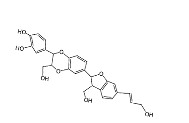 OCC=Cc1ccc2c(c1)OC(c1ccc3c(c1)OC(CO)C(c1ccc(O)c(O)c1)O3)C2CO